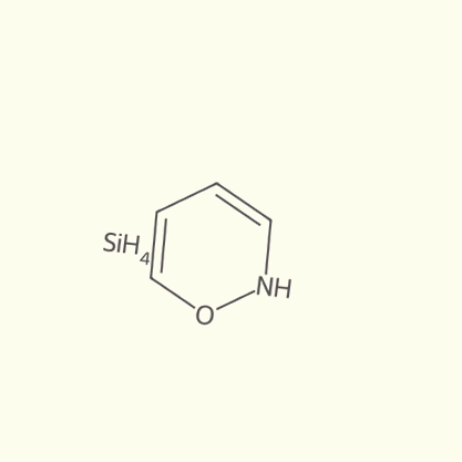 C1=CNOC=C1.[SiH4]